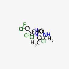 C=C(Nc1ccccc1)c1cc(NCC2(C=O)C(c3ccc(F)c(Cl)c3)C2(Cl)Cl)cc(C)c1Cl